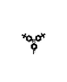 CC(C)(C)c1ccc(B(c2ccc(F)cc2)c2ccc(C(C)(C)C)cc2)cc1